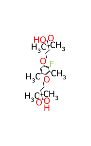 Cc1cc(OCCCC(C)(C)C(=O)O)c(F)c(C)c1OCCCC(C)(C)C(=O)O